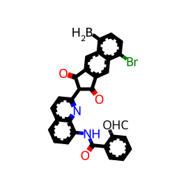 Bc1ccc(Br)c2cc3c(cc12)C(=O)C(c1ccc2cccc(NC(=O)c4ccccc4C=O)c2n1)C3=O